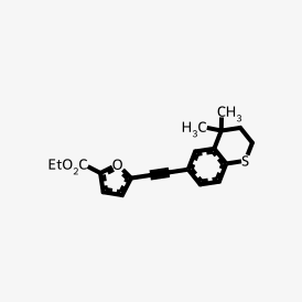 CCOC(=O)c1ccc(C#Cc2ccc3c(c2)C(C)(C)CCS3)o1